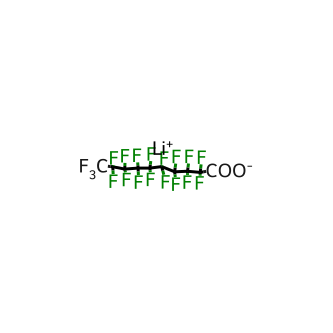 O=C([O-])C(F)(F)C(F)(F)C(F)(F)C(F)(F)C(F)(F)C(F)(F)C(F)(F)C(F)(F)C(F)(F)F.[Li+]